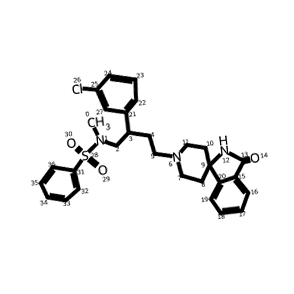 CN(CC(CCN1CCC2(CC1)NC(=O)c1ccccc12)c1cccc(Cl)c1)S(=O)(=O)c1ccccc1